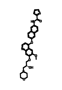 COc1cc2c(Oc3ccc4cc(NC(=O)c5cccs5)ccc4c3)ccnc2cc1OC[C@H](O)CN1CCOCC1